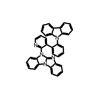 c1ccc(-n2c3ccccc3c3ccccc32)c(-c2cccnc2-n2c3ccccc3n3c4ccccc4nc23)c1